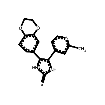 Cc1cc(-c2[nH]c(=S)[nH]c2-c2ccc3c(c2)OCCO3)ccn1